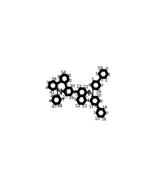 c1ccc(-c2ccc(N(c3ccc(-c4ccccc4)cc3)c3ccc(-c4ccc5c(c4)-c4ccccc4-c4ccccc4N5c4ccccc4)c4ccccc34)cc2)cc1